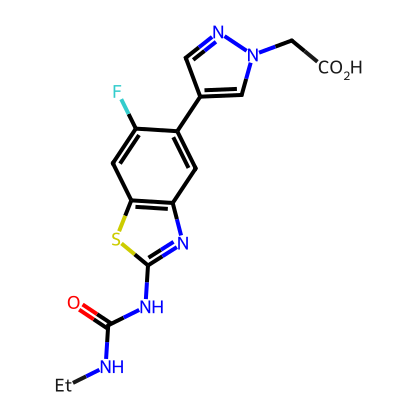 CCNC(=O)Nc1nc2cc(-c3cnn(CC(=O)O)c3)c(F)cc2s1